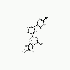 O=C(O)NC(NCc1cccc(-c2ccc(Br)cc2)c1)NC(=O)O